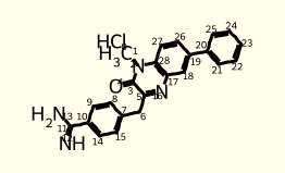 Cl.Cn1c(=O)c(Cc2ccc(C(=N)N)cc2)nc2cc(-c3ccccc3)ccc21